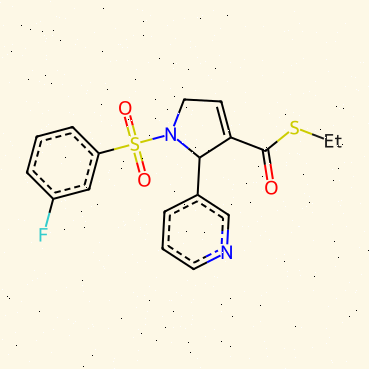 CCSC(=O)C1=CCN(S(=O)(=O)c2cccc(F)c2)C1c1cccnc1